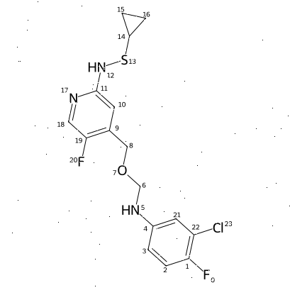 Fc1ccc(NCOCc2cc(NSC3CC3)ncc2F)cc1Cl